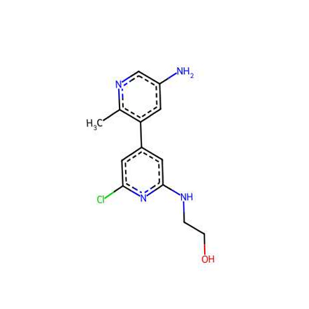 Cc1ncc(N)cc1-c1cc(Cl)nc(NCCO)c1